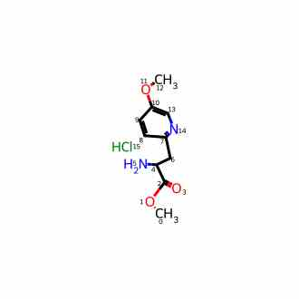 COC(=O)C(N)Cc1ccc(OC)cn1.Cl